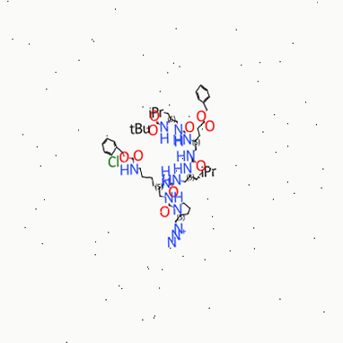 CC(C)C[C@@H](CNC(=O)N[C@@H](CCCCNC(=O)OCc1ccccc1Cl)CNC(=O)N1CCC[C@H]1CN=[N+]=[N-])NC(=O)NC[C@H](CCC(=O)OCc1ccccc1)NC(=O)NC[C@H](CC(C)C)NC(=O)OC(C)(C)C